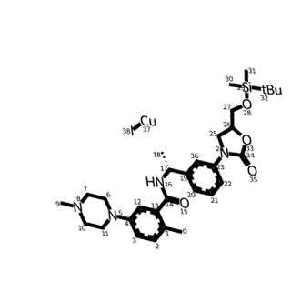 Cc1ccc(N2CCN(C)CC2)cc1C(=O)N[C@H](C)c1cccc(N2CC(CO[Si](C)(C)C(C)(C)C)OC2=O)c1.[Cu][I]